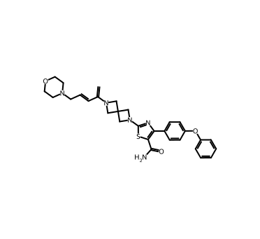 C=C(/C=C/CN1CCOCC1)N1CC2(C1)CN(c1nc(-c3ccc(Oc4ccccc4)cc3)c(C(N)=O)s1)C2